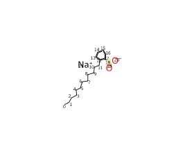 CCCCCCCCCCCCc1ccccc1S(=O)[O-].[Na+]